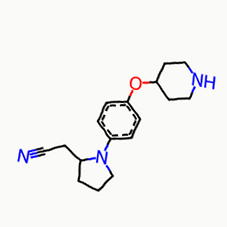 N#CCC1CCCN1c1ccc(OC2CCNCC2)cc1